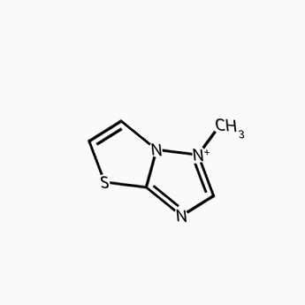 C[n+]1cnc2sccn21